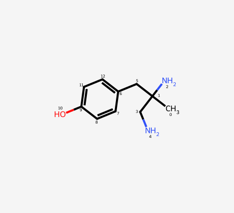 CC(N)(CN)Cc1ccc(O)cc1